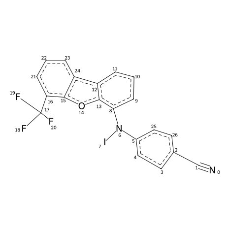 N#Cc1ccc(N(I)c2cccc3c2oc2c(C(F)(F)F)cccc23)cc1